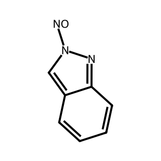 O=Nn1cc2ccccc2n1